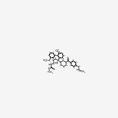 CCc1cccc(-c2c([C@](O)(CCCNC(=O)OC)[C@@H]3CCCN(C(=O)c4ccc(CNC)cc4)C3)ccnc2Cl)c1